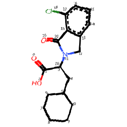 O=C(O)[C@H](CC1CCCCC1)N1Cc2cccc(Cl)c2C1=O